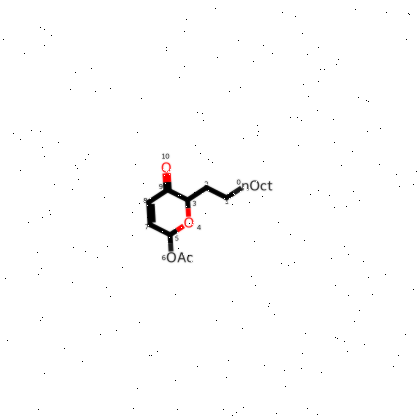 CCCCCCCCCCC1OC(OC(C)=O)C=CC1=O